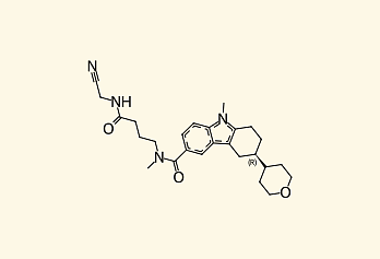 CN(CCCC(=O)NCC#N)C(=O)c1ccc2c(c1)c1c(n2C)CC[C@@H](C2CCOCC2)C1